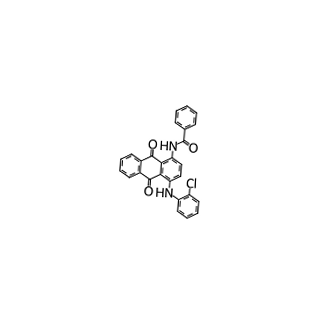 O=C(Nc1ccc(Nc2ccccc2Cl)c2c1C(=O)c1ccccc1C2=O)c1ccccc1